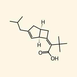 CC(C)CC1=C[C@@H]2C(=C(C(=O)O)C(C)(C)C)C[C@@H]2C1